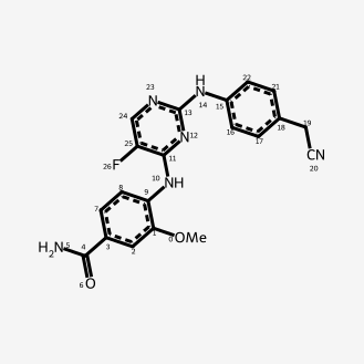 COc1cc(C(N)=O)ccc1Nc1nc(Nc2ccc(CC#N)cc2)ncc1F